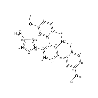 COc1ccc(CN(Cc2ccc(OC)cc2)c2cc(-n3cnc(N)n3)ncn2)cc1